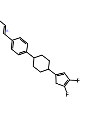 C/C=C/c1ccc(C2CCC(C3=CC(F)=C(F)C3)CC2)cc1